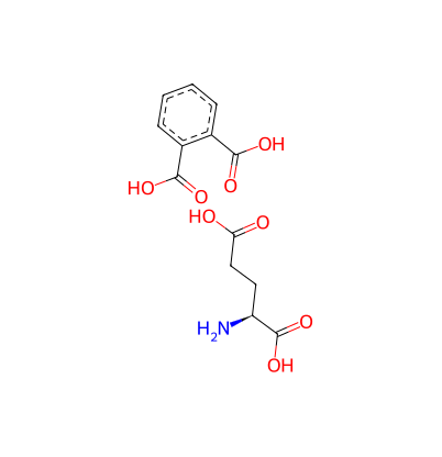 N[C@@H](CCC(=O)O)C(=O)O.O=C(O)c1ccccc1C(=O)O